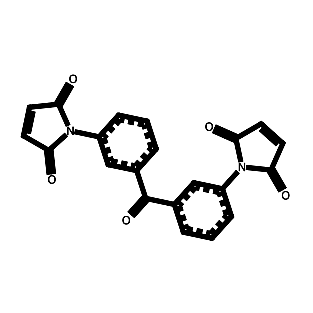 O=C(c1cccc(N2C(=O)C=CC2=O)c1)c1cccc(N2C(=O)C=CC2=O)c1